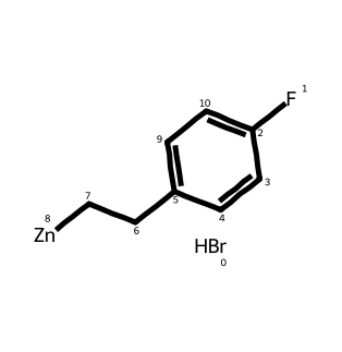 Br.Fc1ccc(C[CH2][Zn])cc1